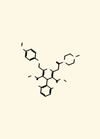 COC(=O)C1=C(CSc2ccc(OC)cc2)NC(CC(=O)N2CCN(C)CC2)=C(C(=O)OC)C1c1c(Cl)cccc1Cl